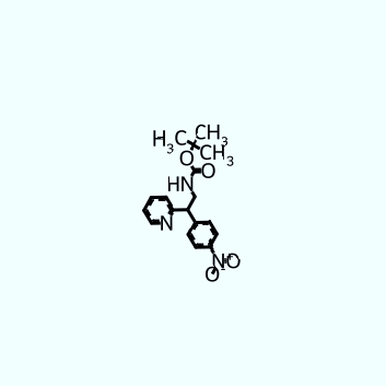 CC(C)(C)OC(=O)NCC(c1ccc([N+](=O)[O-])cc1)c1ccccn1